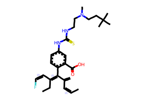 C=C(/C=C\C)/C(=C(/C=C\F)CC)c1ccc(NC(=S)NCCN(C)CCC(C)(C)C)cc1C(=O)O